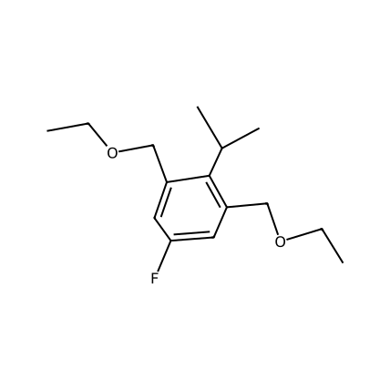 CCOCc1cc(F)cc(COCC)c1C(C)C